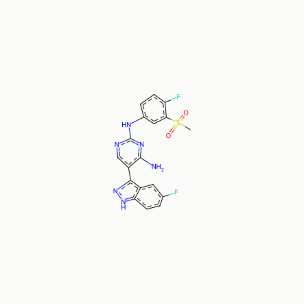 CS(=O)(=O)c1cc(Nc2ncc(-c3n[nH]c4ccc(F)cc34)c(N)n2)ccc1F